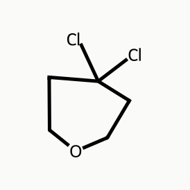 ClC1(Cl)CCOCC1